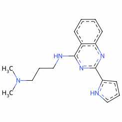 CN(C)CCCNc1nc(-c2ccc[nH]2)nc2ccccc12